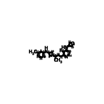 Cc1cc(NC2CN(C(C)CCc3ncnc(NC4COC4)c3F)C2)ncn1